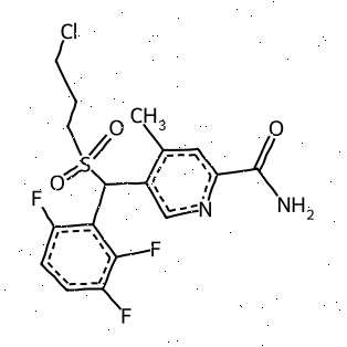 Cc1cc(C(N)=O)ncc1C(c1c(F)ccc(F)c1F)S(=O)(=O)CCCCl